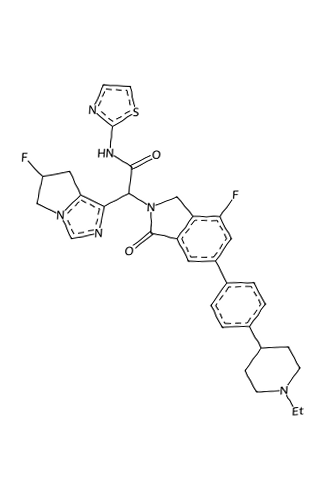 CCN1CCC(c2ccc(-c3cc(F)c4c(c3)C(=O)N(C(C(=O)Nc3nccs3)c3ncn5c3CC(F)C5)C4)cc2)CC1